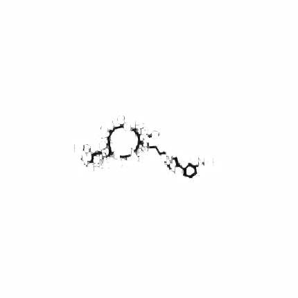 CCO[C@@H](O[C@@H]1[C@@H](C)C(=O)[C@@H](C)C(=O)O[C@H](CC)[C@@]2(C)OC(=O)N(CCCCn3cc(-c4cccc(N)c4)nn3)[C@@H]2[C@@H](C)N(C)C[C@H](C)C[C@@]1(C)OC)C(O)C(CC)N(C)C